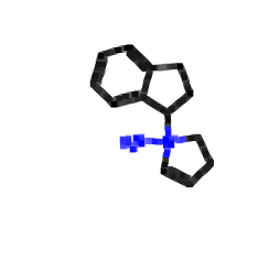 N[N+]1(C2CCc3ccccc32)C=CCC1